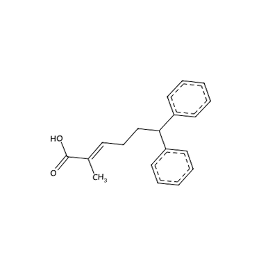 C/C(=C\CCC(c1ccccc1)c1ccccc1)C(=O)O